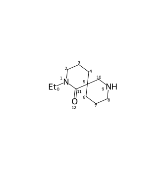 CCN1CCCC2(CCCNC2)C1=O